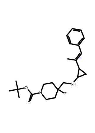 C/C(=C\c1ccccc1)C1CC1NCC1(F)CCN(C(=O)OC(C)(C)C)CC1